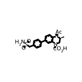 CC(=O)N1c2ccc(-c3ccc(CS(N)(=O)=O)cc3)cc2N(C(=O)O)C[C@@H]1C